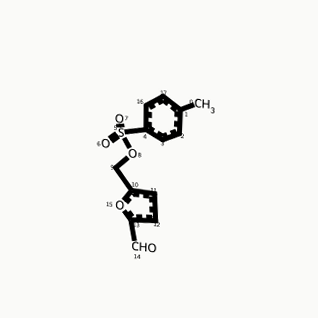 Cc1ccc(S(=O)(=O)OCc2ccc(C=O)o2)cc1